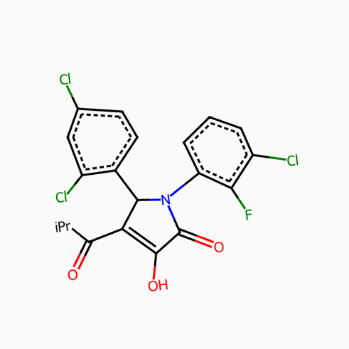 CC(C)C(=O)C1=C(O)C(=O)N(c2cccc(Cl)c2F)C1c1ccc(Cl)cc1Cl